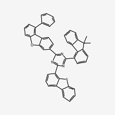 CC1(C)c2ccccc2-c2c(-c3nc(-c4ccc5c(c4)oc4cccc(-c6ccccc6)c45)nc(-c4cccc5c4sc4ccccc45)n3)cccc21